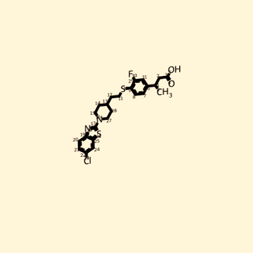 CC(CC(=O)O)c1ccc(SCCC2CCN(c3nc4ccc(Cl)cc4s3)CC2)c(F)c1